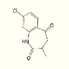 CC1CC(=O)c2ccc(Cl)cc2NC1=O